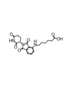 O=C(O)CCCCCNc1cccc2c1C(=O)N(C1CCC(=O)NC1=O)C2=O